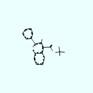 Cc1c(-c2ccccc2)nc2ccccc2c1C(=O)OC(C)(C)C